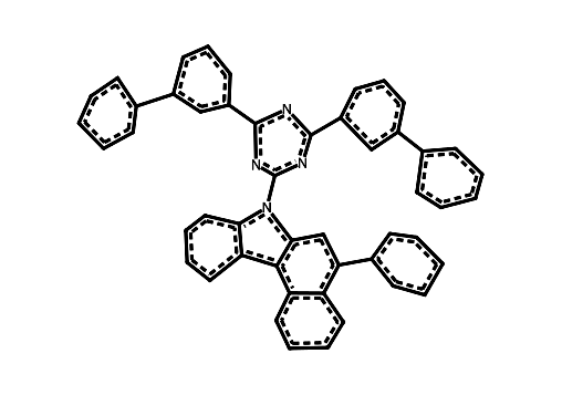 c1ccc(-c2cccc(-c3nc(-c4cccc(-c5ccccc5)c4)nc(-n4c5ccccc5c5c6ccccc6c(-c6ccccc6)cc54)n3)c2)cc1